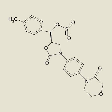 Cc1ccc(C(O[SH](=O)=O)[C@H]2CN(c3ccc(N4CCOCC4=O)cc3)C(=O)O2)cc1